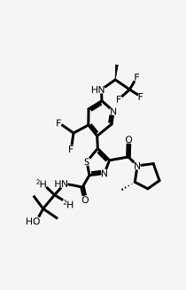 [2H]C([2H])(NC(=O)c1nc(C(=O)N2CCC[C@@H]2C)c(-c2cnc(N[C@@H](C)C(F)(F)F)cc2C(F)F)s1)C(C)(C)O